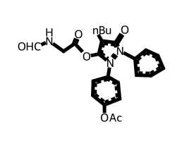 CCCCc1c(OC(=O)CNC=O)n(-c2ccc(OC(C)=O)cc2)n(-c2ccccc2)c1=O